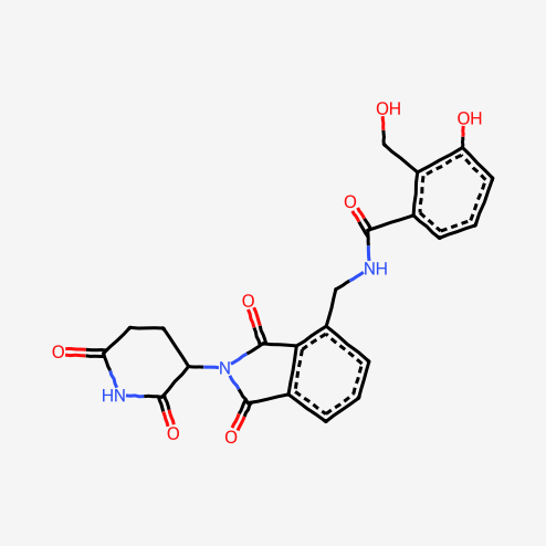 O=C1CCC(N2C(=O)c3cccc(CNC(=O)c4cccc(O)c4CO)c3C2=O)C(=O)N1